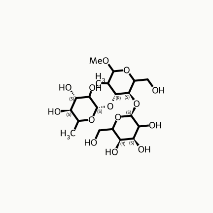 COC1OC(CO)[C@@H](O[C@@H]2OC(CO)[C@H](O)[C@H](O)C2O)[C@H](O[C@@H]2OC(C)[C@@H](O)[C@H](O)C2O)C1C